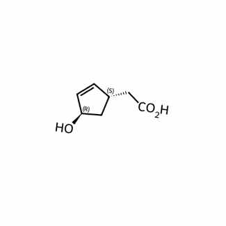 O=C(O)C[C@H]1C=C[C@H](O)C1